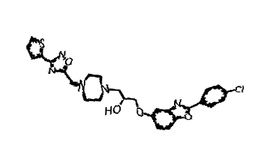 O[C@H](COc1ccc2oc(-c3ccc(Cl)cc3)nc2c1)CN1CCN(Cc2nc(-c3cccs3)no2)CC1